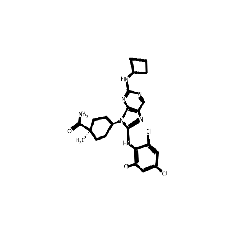 C[C@]1(C(N)=O)CC[C@@H](n2c(Nc3c(Cl)cc(Cl)cc3Cl)nc3cnc(NC4CCC4)nc32)CC1